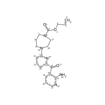 C=CCOC(=O)N1CCCN(c2cccc(C(=O)c3cccnc3N)n2)CC1